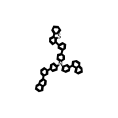 c1cc(-c2ccc(N(c3ccc(-c4cccc(-c5cccc6c5sc5ccccc56)c4)cc3)c3cccc(-c4cccc5ccccc45)c3)cc2)cc(-c2ccc3ccccc3c2)c1